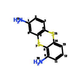 Nc1ccc2c(c1)Sc1c(N)cccc1S2